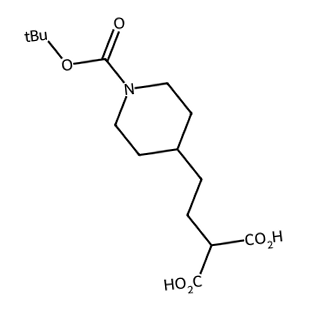 CC(C)(C)OC(=O)N1CCC(CCC(C(=O)O)C(=O)O)CC1